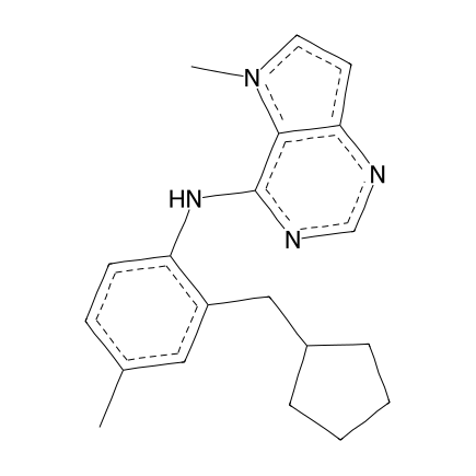 Cc1ccc(Nc2ncnc3ccn(C)c23)c(CC2CCCC2)c1